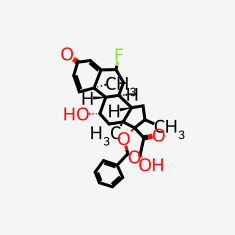 CC1C[C@H]2[C@@H]3CC(F)C4=CC(=O)C=C[C@]4(C)[C@H]3[C@@H](O)C[C@]2(C)[C@]1(OC(=O)c1ccccc1)C(=O)CO